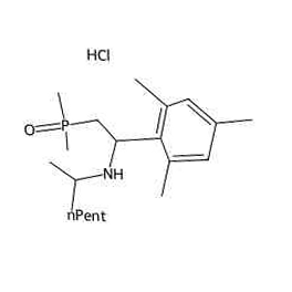 CCCCCC(C)NC(CP(C)(C)=O)c1c(C)cc(C)cc1C.Cl